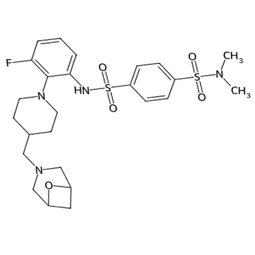 CN(C)S(=O)(=O)c1ccc(S(=O)(=O)Nc2cccc(F)c2N2CCC(CN3CC4CC(C3)O4)CC2)cc1